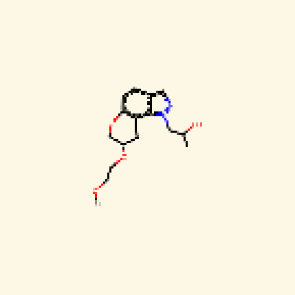 CCOCCO[C@@H]1COc2ccc3cnn(CC(C)O)c3c2C1